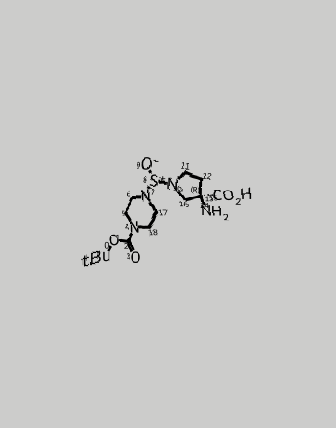 CC(C)(C)OC(=O)N1CCN([S+]([O-])N2CC[C@](N)(C(=O)O)C2)CC1